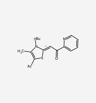 CCCCN1C(C)=C(C(C)=O)S/C1=C\C(=O)c1ccccn1